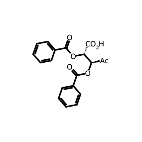 CC(=O)[C@@H](OC(=O)c1ccccc1)[C@H](OC(=O)c1ccccc1)C(=O)O